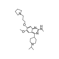 CNc1nc(C2CCN(C(C)C)CC2)c2cc(OC)c(OCCCN3CCCC3)cc2n1